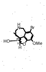 COc1cc(Br)c2c3c1O[C@H]1C[C@@H](O)C(C)[C@@]31CCNC2